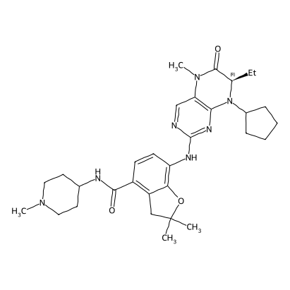 CC[C@@H]1C(=O)N(C)c2cnc(Nc3ccc(C(=O)NC4CCN(C)CC4)c4c3OC(C)(C)C4)nc2N1C1CCCC1